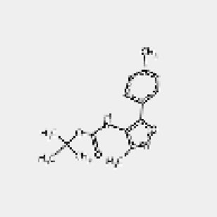 Cc1ccc(-c2onc(C)c2NC(=O)OC(C)(C)C)cc1